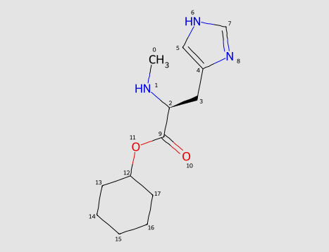 CN[C@@H](Cc1c[nH]cn1)C(=O)OC1CCCCC1